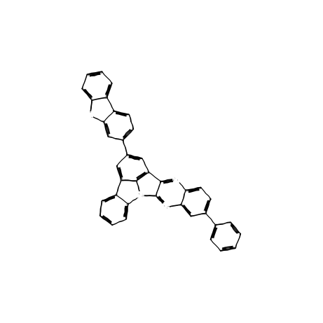 c1ccc(-c2ccc3nc4c5cc(-c6ccc7c(c6)sc6ccccc67)cc6c7ccccc7n(c4nc3c2)c65)cc1